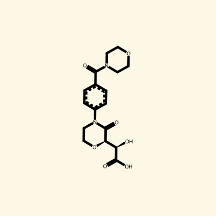 O=C(O)[C@H](O)[C@H]1OCCN(c2ccc(C(=O)N3CCOCC3)cc2)C1=O